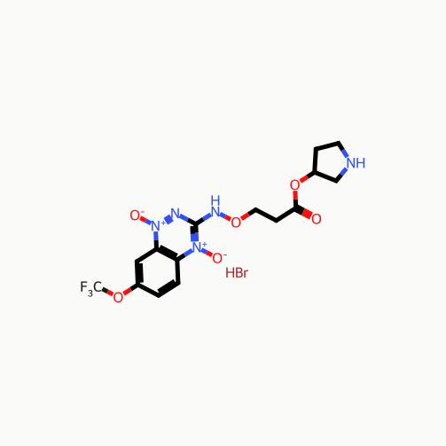 Br.O=C(CCONc1n[n+]([O-])c2cc(OC(F)(F)F)ccc2[n+]1[O-])OC1CCNC1